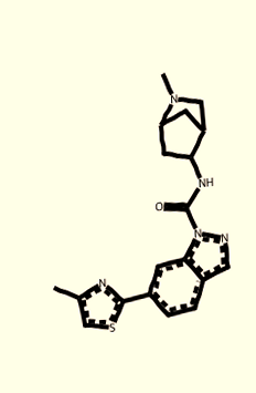 Cc1csc(-c2ccc3cnn(C(=O)NC4CC5CC4CN5C)c3c2)n1